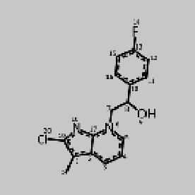 Cc1c2cccn(CC(O)c3ccc(F)cc3)c-2nc1Cl